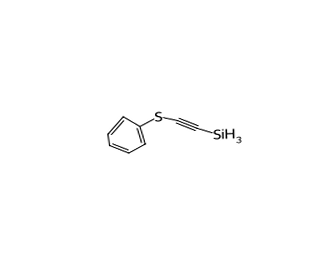 [SiH3]C#CSc1ccccc1